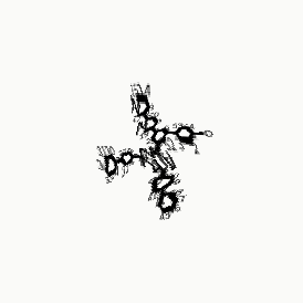 Cc1ccc(-c2cc(-c3ccc(-c4cccnc4)nc3)cc(-c3nc(-c4ccc(-c5ccccc5)cc4)nc(-c4ccc(-c5ccccc5)cc4)n3)c2)cc1